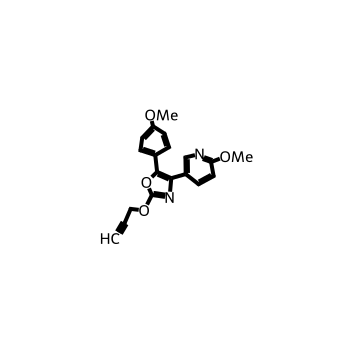 C#CCOc1nc(-c2ccc(OC)nc2)c(-c2ccc(OC)cc2)o1